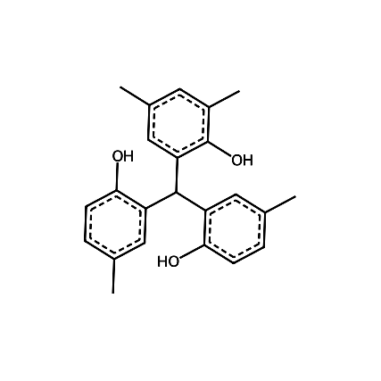 Cc1ccc(O)c(C(c2cc(C)ccc2O)c2cc(C)cc(C)c2O)c1